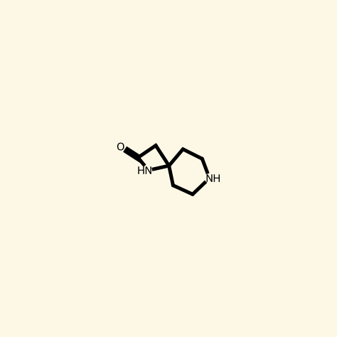 O=C1CC2(CCNCC2)N1